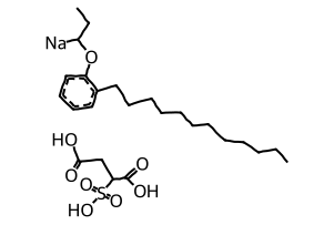 CCCCCCCCCCCCc1ccccc1O[CH]([Na])CC.O=C(O)CC(C(=O)O)S(=O)(=O)O